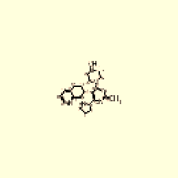 Cc1nc([C@H]2CCCN2[C@H]2CCCc3cccnc32)cc(N2CCN(C)CC2)n1